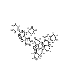 c1ccc(-c2nc(-c3ccccc3)c3c(n2)oc2ccc(-c4ccc(-n5c6ccccc6c6c7ccccc7ccc65)c5c4oc4c6ccccc6ccc45)cc23)cc1